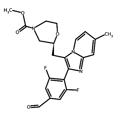 COC(=O)N1CCO[C@@H](Cc2c(-c3c(F)cc(C=O)cc3F)nc3cc(C)ccn23)C1